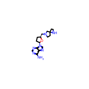 Nc1ncnc2c1ncn2[C@H]1CC[C@@H](CN2CCC3(CCN3)C2)O1